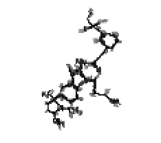 CN1C(O)CCC1(C)c1ccc2c(c1)nc(NC(=O)c1cccc(C(F)(F)F)c1)n2CCCO